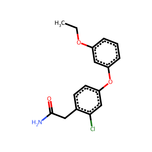 CCOc1cccc(Oc2ccc(CC(N)=O)c(Cl)c2)c1